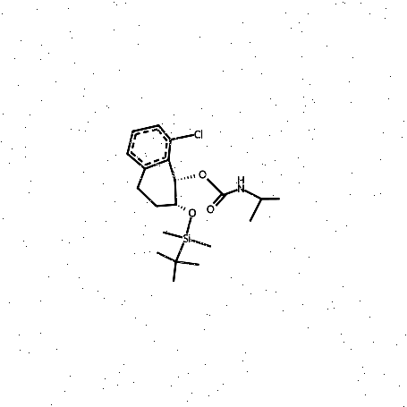 CC(C)NC(=O)O[C@H]1c2c(Cl)cccc2CC[C@H]1O[Si](C)(C)C(C)(C)C